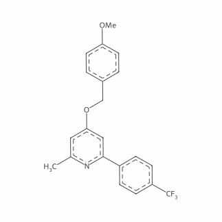 COc1ccc(COc2cc(C)nc(-c3ccc(C(F)(F)F)cc3)c2)cc1